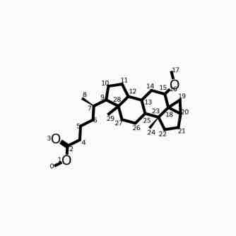 COC(=O)CCC[C@@H](C)C1CCC2C3CC(OC)C45CC4CC[C@]5(C)C3CCC21C